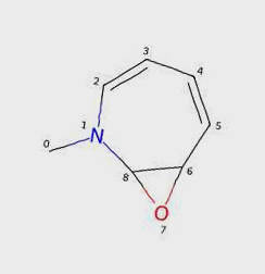 CN1C=CC=CC2OC21